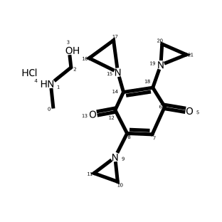 CNCO.Cl.O=C1C=C(N2CC2)C(=O)C(N2CC2)=C1N1CC1